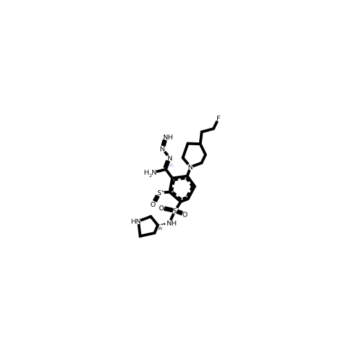 N=N/N=C(\N)c1c(N2CCC(CCF)CC2)ccc(S(=O)(=O)N[C@@H]2CCNC2)c1[S+]=O